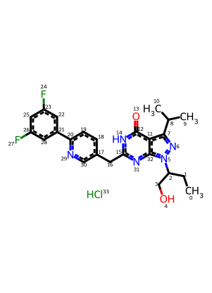 CCC(CO)n1nc(C(C)C)c2c(=O)[nH]c(Cc3ccc(-c4cc(F)cc(F)c4)nc3)nc21.Cl